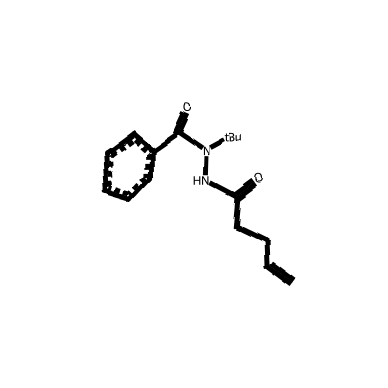 C=CCCC(=O)NN(C(=O)c1ccccc1)C(C)(C)C